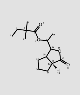 CCC(C)(C)C(=O)OC(C)C1OC(=O)[C@@H]2CCCC12